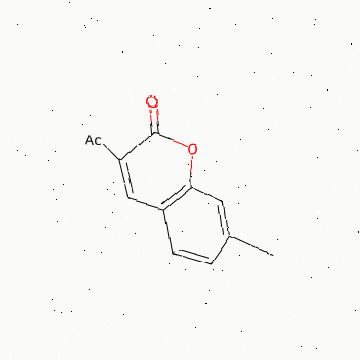 CC(=O)c1cc2ccc(C)cc2oc1=O